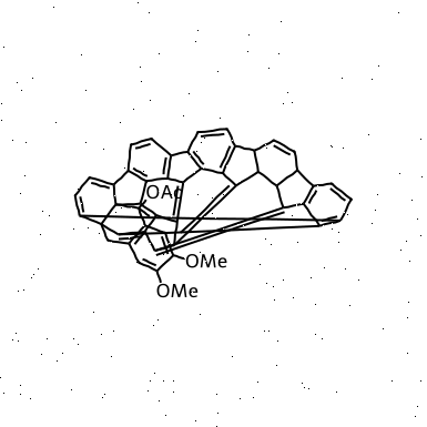 COc1cc2c(cc1OC)C(OC(C)=O)C13C4=CC=C5c6ccc7c8c9c%10c(c(c68)C51C2)c1c3c2c4ccc3c4ccc5c6c(c%10c1c(c64)c23)C1C5C=CC7C91